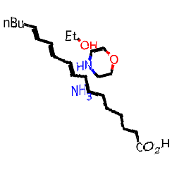 C1COCCN1.CCCCC=CC=CC=CCCCCCCCC(=O)O.CCO.N